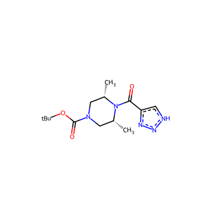 C[C@@H]1CN(C(=O)OC(C)(C)C)C[C@H](C)N1C(=O)c1c[nH]nn1